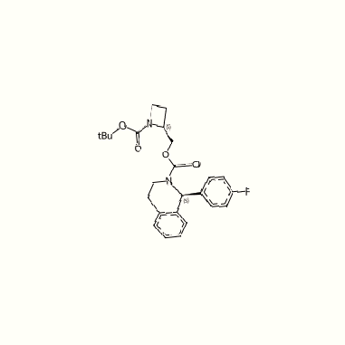 CC(C)(C)OC(=O)N1CC[C@H]1COC(=O)N1CCc2ccccc2[C@@H]1c1ccc(F)cc1